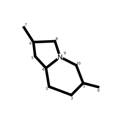 CC1CCC2CC(C)CN2C1